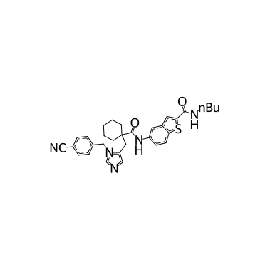 CCCCNC(=O)c1cc2cc(NC(=O)C3(Cc4cncn4Cc4ccc(C#N)cc4)CCCCC3)ccc2s1